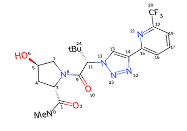 CNC(=O)[C@@H]1C[C@@H](O)CN1C(=O)[C@@H](n1cc(-c2cccc(C(F)(F)F)n2)nn1)C(C)(C)C